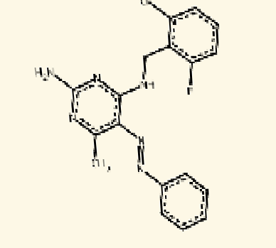 Cc1nc(N)nc(NCc2c(F)cccc2Cl)c1N=Nc1ccccc1